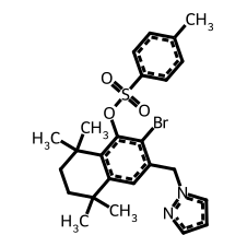 Cc1ccc(S(=O)(=O)Oc2c(Br)c(Cn3cccn3)cc3c2C(C)(C)CCC3(C)C)cc1